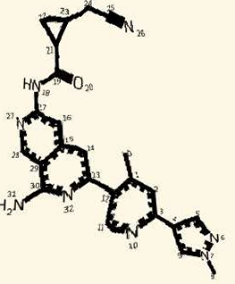 Cc1cc(-c2cnn(C)c2)ncc1-c1cc2cc(NC(=O)C3CC3CC#N)ncc2c(N)n1